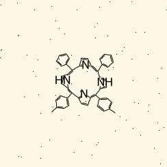 Cc1ccc(-c2c3nc(c(-c4ccc(C)cc4)c4ccc([nH]4)c(-c4ccccc4)c4nc(c(-c5ccccc5)c5ccc2[nH]5)C=C4)C=C3)cc1